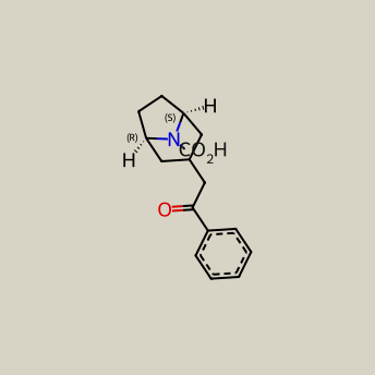 O=C(CC1C[C@H]2CC[C@@H](C1)N2C(=O)O)c1ccccc1